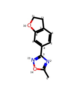 Cc1nc(-c2ccc3c(c2)OCC3)no1